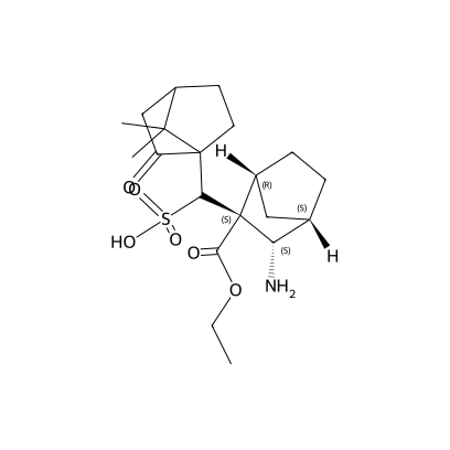 CCOC(=O)[C@]1(C(C23CCC(CC2=O)C3(C)C)S(=O)(=O)O)[C@@H]2CC[C@@H](C2)[C@@H]1N